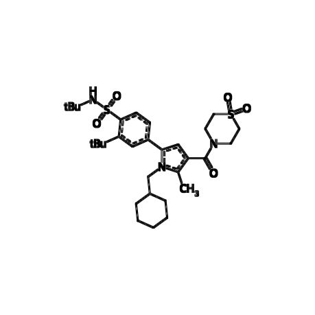 Cc1c(C(=O)N2CCS(=O)(=O)CC2)cc(-c2ccc(S(=O)(=O)NC(C)(C)C)c(C(C)(C)C)c2)n1CC1CCCCC1